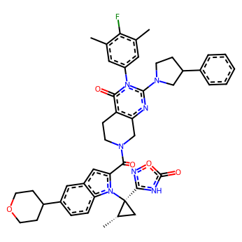 Cc1cc(-n2c(N3CCC(c4ccccc4)C3)nc3c(c2=O)CCN(C(=O)c2cc4cc(C5CCOCC5)ccc4n2[C@@]2(c4noc(=O)[nH]4)C[C@@H]2C)C3)cc(C)c1F